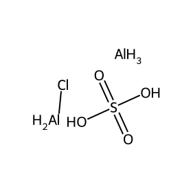 O=S(=O)(O)O.[AlH2][Cl].[AlH3]